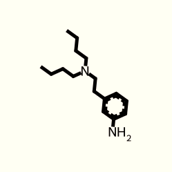 CCCCN(CCCC)CCc1cccc(N)c1